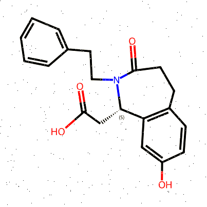 O=C(O)C[C@H]1c2cc(O)ccc2CCC(=O)N1CCc1ccccc1